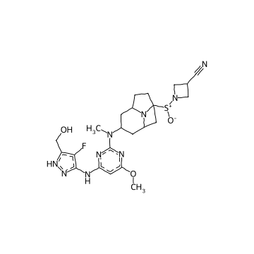 COc1cc(Nc2n[nH]c(CO)c2F)nc(N(C)C2CC3CCC4([S+]([O-])N5CC(C#N)C5)CC(C2)N34)n1